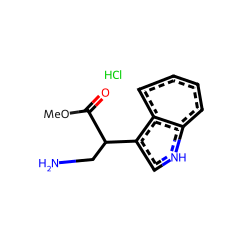 COC(=O)C(CN)c1c[nH]c2ccccc12.Cl